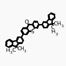 CC1(C)c2ccccc2-c2cc(-c3ccc4c(=O)c5ccc(-c6ccc7c(c6)-c6ccccc6C7(C)C)cc5sc4c3)ccc21